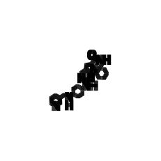 O=C1NCC2(CCCCC2)n2c1cc1cnc(NC3CCC(NCc4cccnc4)CC3)nc12